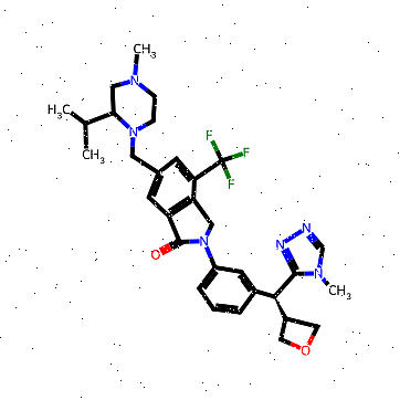 CC(C)C1CN(C)CCN1Cc1cc2c(c(C(F)(F)F)c1)CN(c1cccc([C@@H](c3nncn3C)C3COC3)c1)C2=O